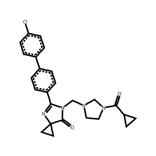 O=C(C1CC1)N1CCN(CN2C(=O)C3(CC3)N=C2c2ccc(-c3ccc(Cl)cc3)cc2)C1